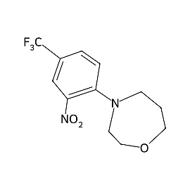 O=[N+]([O-])c1cc(C(F)(F)F)ccc1N1CCCOCC1